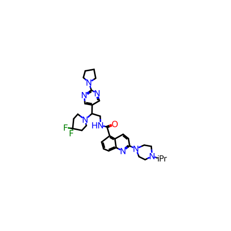 CC(C)N1CCN(c2ccc3c(C(=O)NCC(c4cnc(N5CCCC5)nc4)N4CCC(F)(F)CC4)cccc3n2)CC1